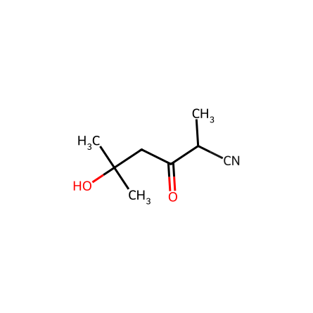 CC(C#N)C(=O)CC(C)(C)O